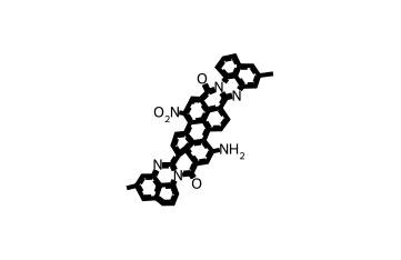 Cc1cc2cccc3c2c(c1)nc1c2ccc4c5c([N+](=O)[O-])cc6c(=O)n7c8cccc9cc(C)cc(nc7c7ccc(c%10c(N)cc(c(=O)n31)c2c4%10)c5c67)c98